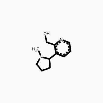 CN1CCCC1c1cccnc1CO